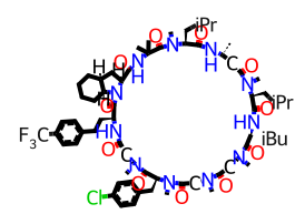 CC[C@H](C)[C@@H]1NC(=O)[C@H](CC(C)C)N(C)C(=O)C[C@@H](C)NC(=O)[C@H](CC(C)C)N(C)C(=O)C(C)(C)NC(=O)[C@@H]2C[C@@H]3CCCC[C@@H]3N2C(=O)[C@H](CCc2ccc(C(F)(F)F)cc2)NC(=O)CN(C)C(=O)[C@H](Cc2ccc(Cl)cc2)N(C)C(=O)CN(C)C(=O)CN(C)C1=O